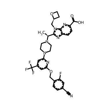 C[C@@H](c1nc2ccc(C(=O)O)nc2n1C[C@@H]1CCO1)N1CCN(c2cc(C(F)(F)F)cc(OCc3ccc(C#N)cc3F)n2)CC1